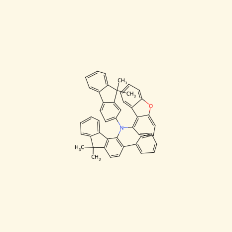 CC1(C)c2ccccc2-c2ccc(N(c3c(-c4ccccc4)ccc4c3-c3ccccc3C4(C)C)c3cccc4oc5ccccc5c34)cc21